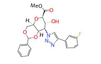 COC(=O)[C@@H]1O[C@@H]2COC(c3ccccc3)O[C@@H]2[C@H](n2cc(-c3cccc(F)c3)nn2)[C@H]1O